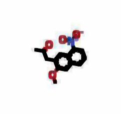 COc1cc2cccc([N+](=O)[O-])c2cc1CC(C)=O